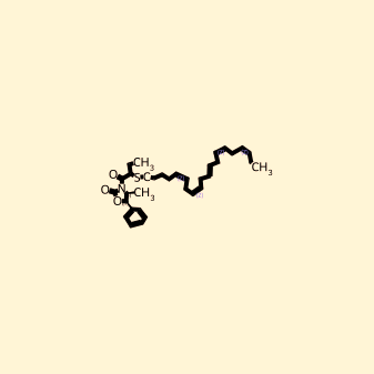 CC/C=C\C/C=C\CC=CC/C=C\C/C=C\CCCCSC(CC)C(=O)N1C(=O)O[C@H](c2ccccc2)[C@@H]1C